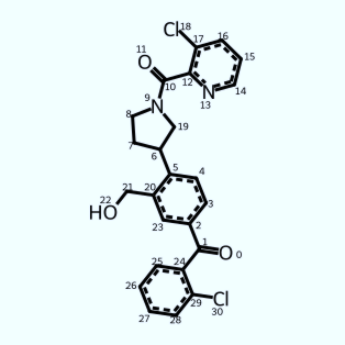 O=C(c1ccc(C2CCN(C(=O)c3ncccc3Cl)C2)c(CO)c1)c1ccccc1Cl